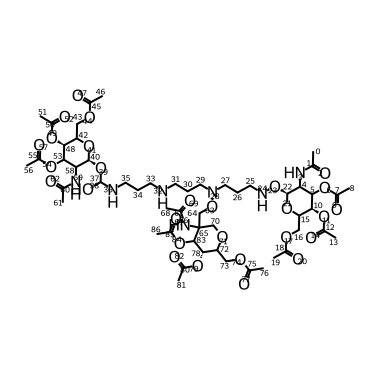 CC(=O)NC1C(OC(C)=O)[C@@H](OC(C)=O)C(COC(C)=O)O[C@H]1ONCCCN(CCCNCCCNC(O)O[C@@H]1OC(COC(C)=O)[C@H](OC(C)=O)C(OC(C)=O)C1NC(C)=O)OCC1(NC(C)=O)COC(COC(C)=O)[C@H](OC(C)=O)C1OC(C)=O